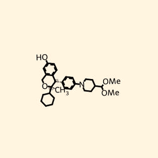 COC(OC)C1CCN(c2ccc([C@H]3c4ccc(O)cc4CO[C@]3(C)C3CCCCC3)cc2)CC1